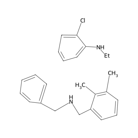 CCNc1ccccc1Cl.Cc1cccc(CNCc2ccccc2)c1C